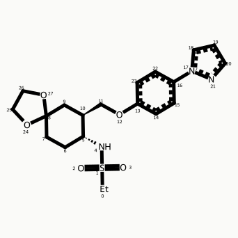 CCS(=O)(=O)N[C@@H]1CCC2(C[C@H]1COc1ccc(-n3cccn3)cc1)OCCO2